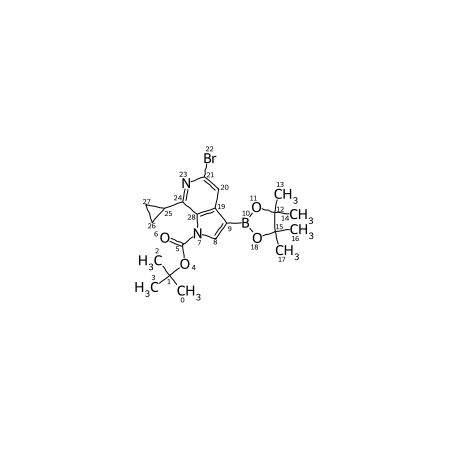 CC(C)(C)OC(=O)n1cc(B2OC(C)(C)C(C)(C)O2)c2cc(Br)nc(C3CC3)c21